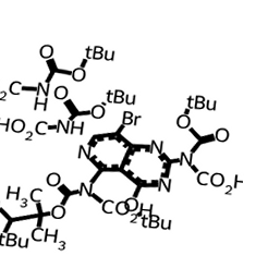 CC(C)(C)OC(=O)N(C(=O)O)c1nc(OC(C)(C)C)c2c(N(C(=O)O)C(=O)OC(C)(C)C(C(C)(C)C)C(C)(C)C)ncc(Br)c2n1.CC(C)(C)OC(=O)NC(=O)O.CC(C)(C)OC(=O)NC(=O)O